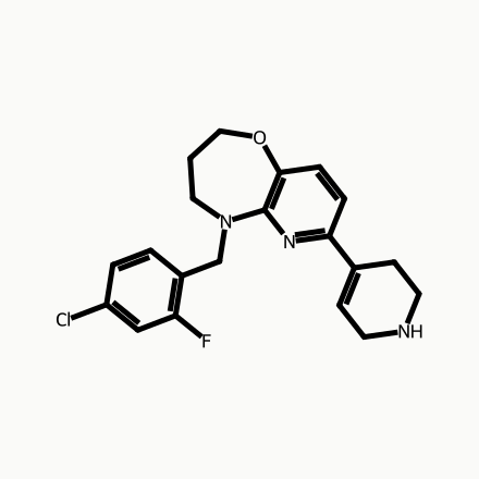 Fc1cc(Cl)ccc1CN1CCCOc2ccc(C3=CCNCC3)nc21